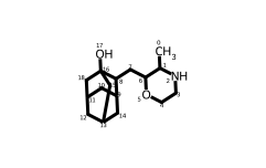 CC1NCCOC1CC1C2CC3CC(C2)CC1(O)C3